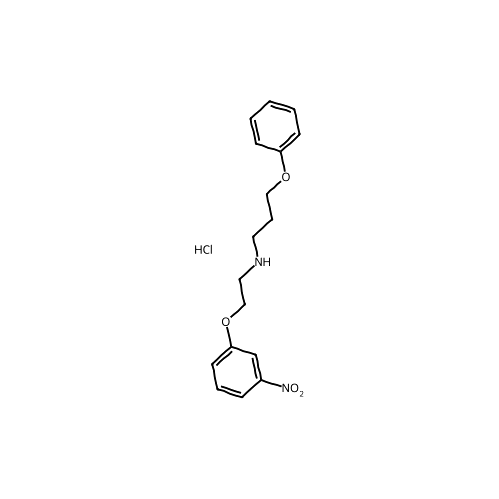 Cl.O=[N+]([O-])c1cccc(OCCNCCCOc2ccccc2)c1